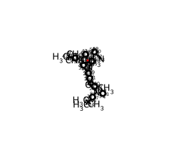 Cc1ccccc1N(c1ccc(C(C)(C)C)cc1)c1ccc2c(c1)oc1cc3cc4c5ccc(N(c6ccc(C(C)(C)C)cc6)c6ccccc6C)c6c7cc(-c8ccccc8C#N)ccc7n(c4cc3cc12)c56